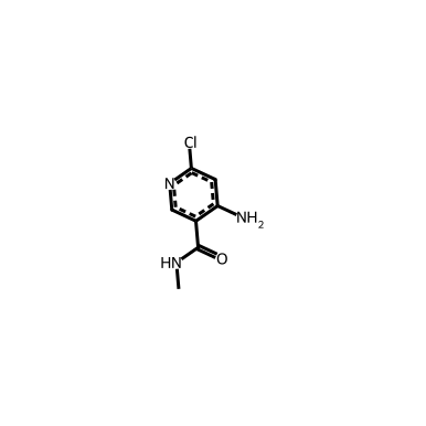 CNC(=O)c1cnc(Cl)cc1N